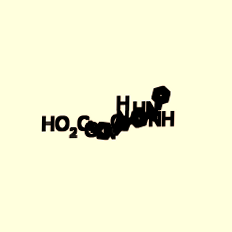 N=C(NCc1ccccc1)c1ccc(C2CC(CN3CCC(OCC(=O)O)CC3)ON2)cc1